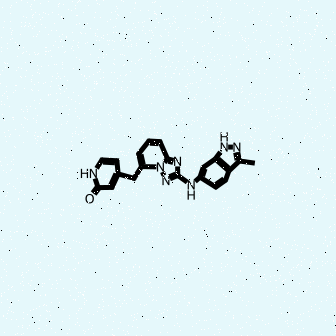 Cc1n[nH]c2cc(Nc3nc4cccc(Cc5cc[nH]c(=O)c5)n4n3)ccc12